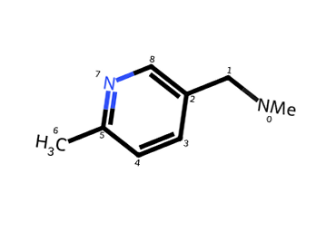 CNCc1ccc(C)nc1